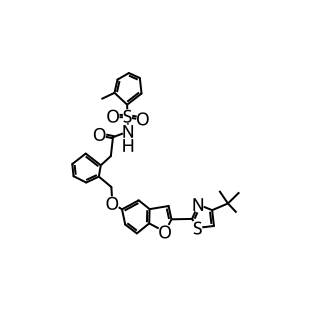 Cc1ccccc1S(=O)(=O)NC(=O)Cc1ccccc1COc1ccc2oc(-c3nc(C(C)(C)C)cs3)cc2c1